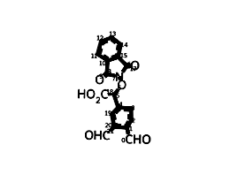 O=Cc1ccc([C@H](ON2C(=O)c3ccccc3C2=O)C(=O)O)cc1C=O